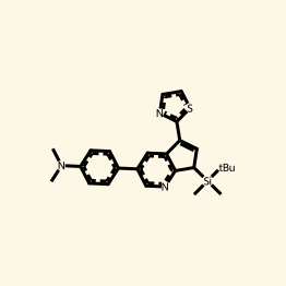 CN(C)c1ccc(-c2cnc3c(c2)C(c2nccs2)=CC3[Si](C)(C)C(C)(C)C)cc1